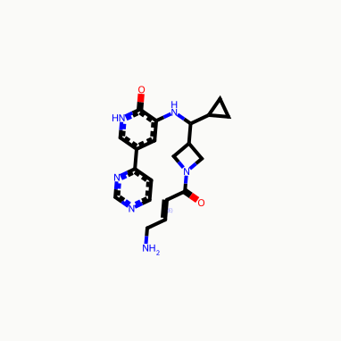 NC/C=C/C(=O)N1CC(C(Nc2cc(-c3ccncn3)c[nH]c2=O)C2CC2)C1